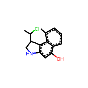 Cc1cccc2c(O)cc3c(c12)C(C(C)Cl)CN3